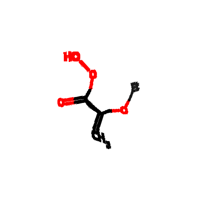 C=C(OCC)C(=O)OO